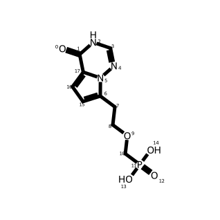 O=c1[nH]cnn2c(CCOCP(=O)(O)O)ccc12